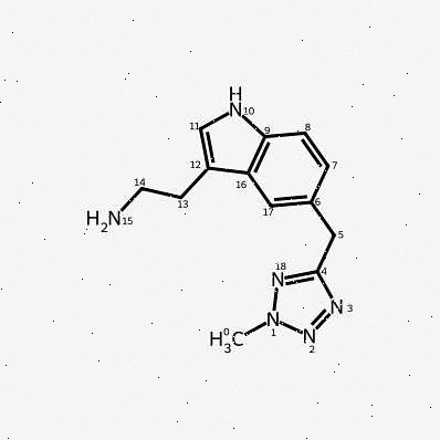 Cn1nnc(Cc2ccc3[nH]cc(CCN)c3c2)n1